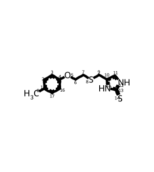 Cc1ccc(OCCSCc2c[nH]c(=S)[nH]2)cc1